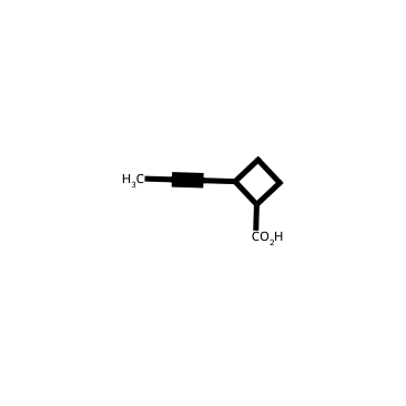 CC#CC1CCC1C(=O)O